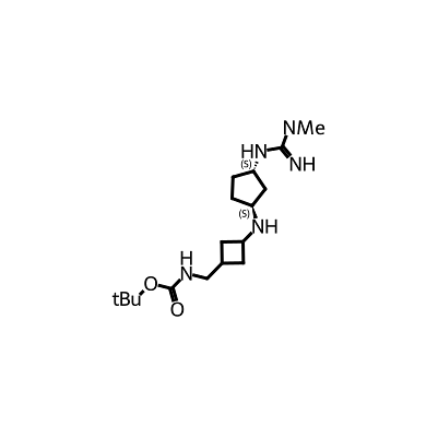 CNC(=N)N[C@H]1CC[C@H](NC2CC(CNC(=O)OC(C)(C)C)C2)C1